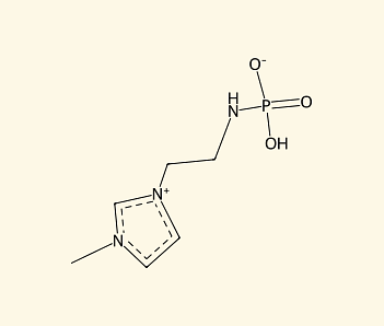 Cn1cc[n+](CCNP(=O)([O-])O)c1